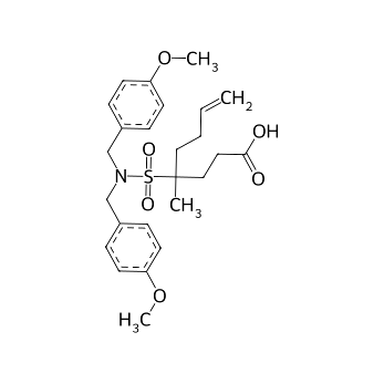 C=CCCC(C)(CCC(=O)O)S(=O)(=O)N(Cc1ccc(OC)cc1)Cc1ccc(OC)cc1